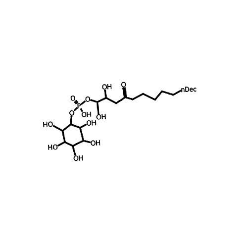 CCCCCCCCCCCCCCCC(=O)CC(O)C(O)OP(=O)(O)OC1C(O)C(O)C(O)C(O)C1O